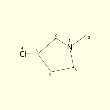 CN1[CH]C(Cl)CC1